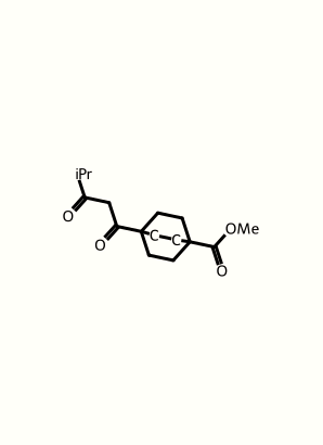 COC(=O)C12CCC(C(=O)CC(=O)C(C)C)(CC1)CC2